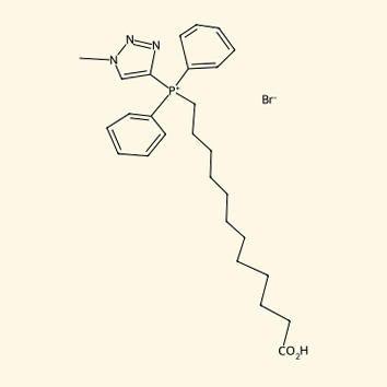 Cn1cc([P+](CCCCCCCCCCCC(=O)O)(c2ccccc2)c2ccccc2)nn1.[Br-]